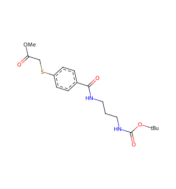 COC(=O)CSc1ccc(C(=O)NCCCNC(=O)OC(C)(C)C)cc1